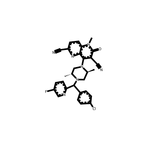 C[C@@H]1CN(c2c(C#N)c(=O)n(C)c3ccc(C#N)nc23)[C@@H](C)CN1C(c1ccc(Cl)cc1)c1ccc(F)cn1